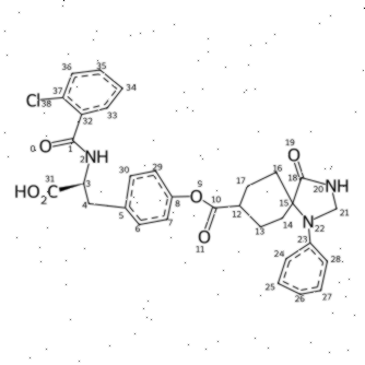 O=C(N[C@@H](Cc1ccc(OC(=O)C2CCC3(CC2)C(=O)NCN3c2ccccc2)cc1)C(=O)O)c1ccccc1Cl